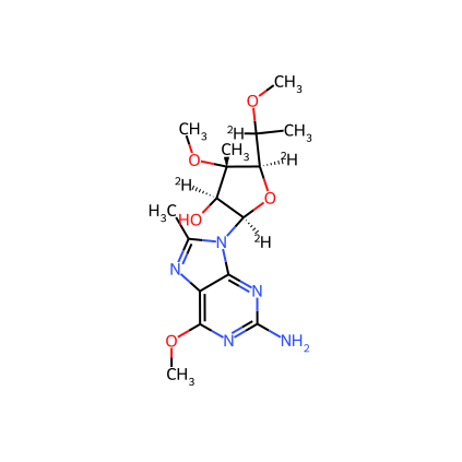 [2H]C(C)(OC)[C@@]1([2H])O[C@@]([2H])(n2c(C)nc3c(OC)nc(N)nc32)[C@@]([2H])(O)[C@]1(C)OC